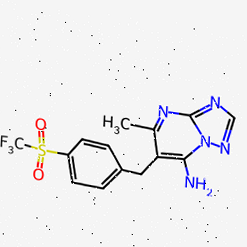 Cc1nc2ncnn2c(N)c1Cc1ccc(S(=O)(=O)C(F)(F)F)cc1